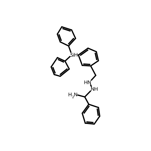 NC(NNCc1cccc([SiH](c2ccccc2)c2ccccc2)c1)c1ccccc1